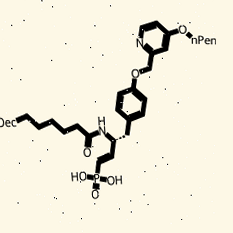 CCCCCCCCCCCCCCCC(=O)N[C@@H](/C=C/P(=O)(O)O)Cc1ccc(OCc2cc(OCCCCC)ccn2)cc1